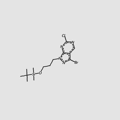 CC(C)(C)[Si](C)(C)OCCCn1nc(Br)c2cnc(Cl)nc21